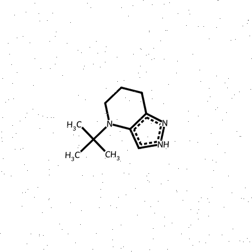 CC(C)(C)N1CCCc2n[nH]cc21